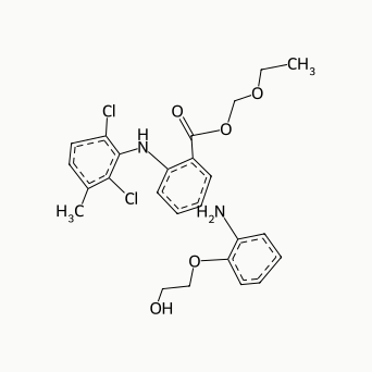 CCOCOC(=O)c1ccccc1Nc1c(Cl)ccc(C)c1Cl.Nc1ccccc1OCCO